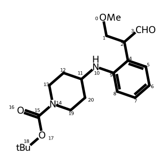 COCC(C=O)c1ccccc1NC1CCN(C(=O)OC(C)(C)C)CC1